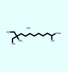 CCCCCCC(O)CCCCCCCC(N)(CO)CO.Cl